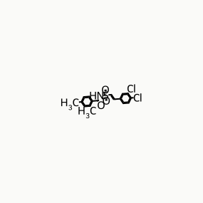 Cc1ccc(C(=O)NS(=O)(=O)C=Cc2ccc(Cl)c(Cl)c2)c(C)c1